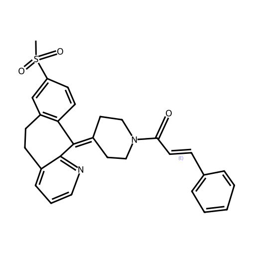 CS(=O)(=O)c1ccc2c(c1)CCc1cccnc1C2=C1CCN(C(=O)/C=C/c2ccccc2)CC1